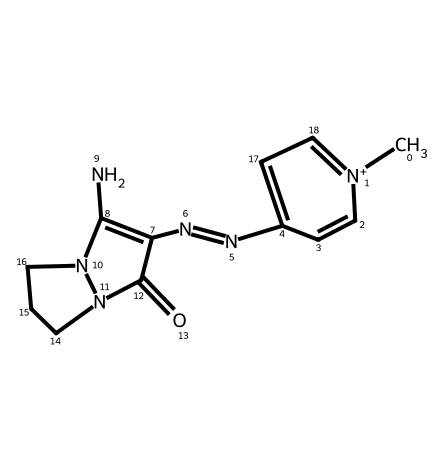 C[n+]1ccc(/N=N/c2c(N)n3n(c2=O)CCC3)cc1